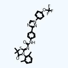 Cc1cccc(C)c1N1C(=O)C(C)(C)SC1=NC(=O)Nc1ccc(-c2ncn(-c3ccc(OC(F)(F)F)cc3)n2)cc1